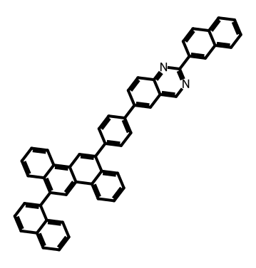 c1ccc2cc(-c3ncc4cc(-c5ccc(-c6cc7c8ccccc8c(-c8cccc9ccccc89)cc7c7ccccc67)cc5)ccc4n3)ccc2c1